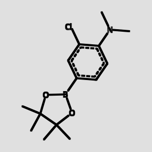 CN(C)c1ccc(B2OC(C)(C)C(C)(C)O2)cc1Cl